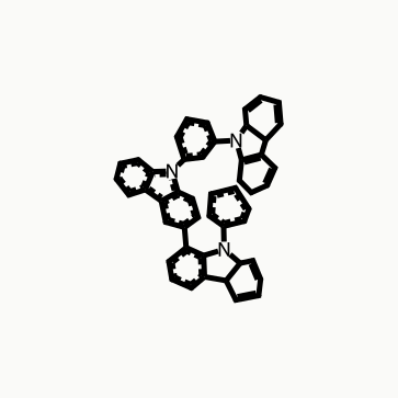 C1=CC2C3=C(CCC=C3)N(c3cccc(-n4c5ccccc5c5cc(-c6cccc7c6N(c6ccccc6)C6C=CC=CC76)ccc54)c3)C2C=C1